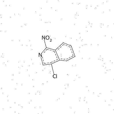 O=[N+]([O-])c1ncc(Cl)c2ccccc12